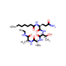 CCCCCCCCCCCCCCCC(=O)N[C@@H](CCC(N)=O)C(=O)N[C@H](C(=O)N[C@H](C(=O)N[C@@H](C)C(=O)NCC(C)=O)[C@@H](C)CC)[C@@H](C)O